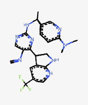 C=Nc1cnc(NC(C)c2ccc(N(C)C)nc2)nc1C1CNc2ncc(C(F)(F)F)cc21